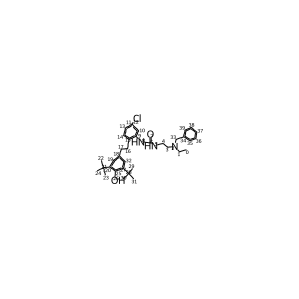 CCN(CCNC(=O)Nc1cc(Cl)ccc1CCc1cc(C(C)(C)C)c(O)c(C(C)(C)C)c1)Cc1ccccc1